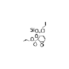 C=CCOC(=O)C12C=CC3OC3C1(C(=O)OCC=C)O2.[Si]